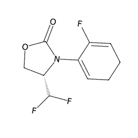 O=C1OC[C@@H](C(F)F)N1C1=CCCC=C1F